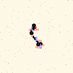 O=C(c1ccc(OCCCCNC[C@H](O)c2ccc(O)c3[nH]c(=O)ccc23)cc1)N1CC(C(=O)O)(c2ccccc2)C1